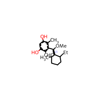 CCC1CCCC(C)/C1=C(/OC)c1c(C)c(O)cc(O)c1C=O